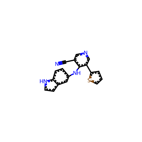 N#Cc1cncc(-c2cccs2)c1Nc1ccc2[nH]ccc2c1